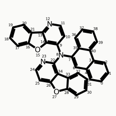 c1ccc2c(c1)cc(N(c1ccnc3c1oc1ccccc13)c1nccc3oc4ccccc4c13)c1ccccc12